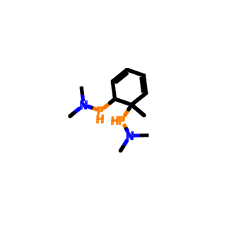 CN(C)PC1C=CC=CC1(C)PN(C)C